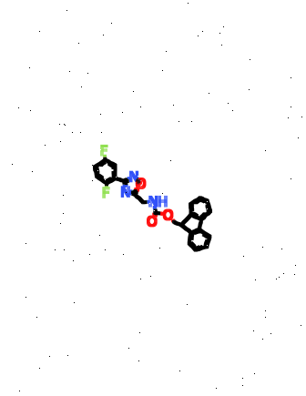 O=C(NCc1nc(-c2cc(F)ccc2F)no1)OCC1c2ccccc2-c2ccccc21